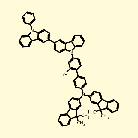 Cc1cc(-n2c3ccccc3c3cc(-c4ccc5c(c4)c4ccccc4n5-c4ccccc4)ccc32)ccc1-c1ccc(N(c2ccc3c(c2)C(C)(C)c2ccccc2-3)c2ccc3c(c2)C(C)(C)c2ccccc2-3)cc1